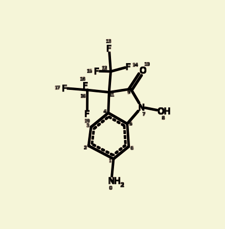 Nc1ccc2c(c1)N(O)C(=O)C2(C(F)(F)F)C(F)(F)F